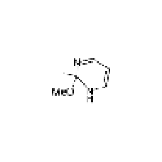 COC1(C)N=CC=CN1